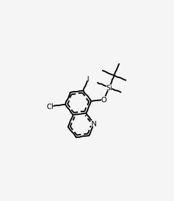 CC(C)(C)[Si](C)(C)Oc1c(I)cc(Cl)c2cccnc12